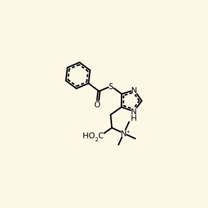 C[N+](C)(C)C(Cc1[nH]cnc1SC(=O)c1ccccc1)C(=O)O